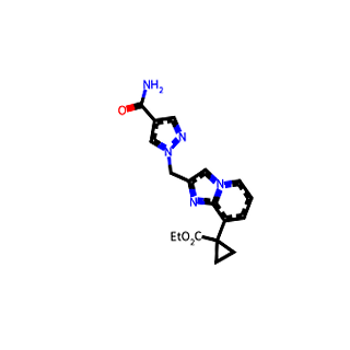 CCOC(=O)C1(c2cccn3cc(Cn4cc(C(N)=O)cn4)nc23)CC1